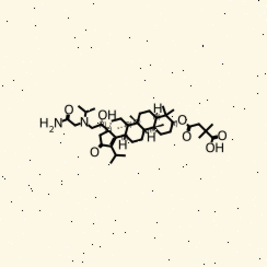 CC(C)C1=C2[C@H]3CC[C@@H]4[C@@]5(C)CC[C@@H](OC(=O)CC(C)(C)C(=O)O)C(C)(C)[C@@H]5CC[C@@]4(C)[C@]3(C)CC[C@@]2([C@@H](O)CN(CC(N)=O)C(C)C)CC1=O